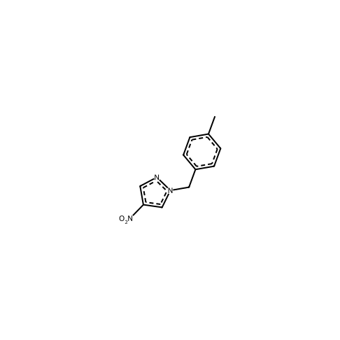 Cc1ccc(Cn2cc([N+](=O)[O-])cn2)cc1